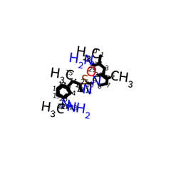 C=CC(CC1=C(C)CCN(C2=NCC(C(C)c3cccc(N(C)N)c3)S2)C1)C(N)=O